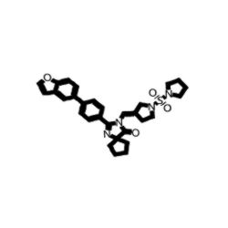 O=C1N(/C=C2\CCN(S(=O)(=O)N3CCCC3)C2)C(c2ccc(-c3ccc4occc4c3)cc2)=NC12CCCC2